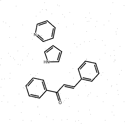 O=C(C=Cc1ccccc1)c1ccccc1.c1cc[nH]c1.c1ccncc1